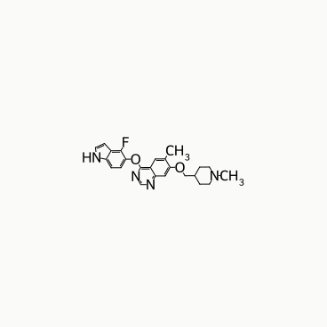 Cc1cc2c(Oc3ccc4[nH]ccc4c3F)ncnc2cc1OCC1CCN(C)CC1